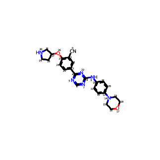 N#Cc1cc(-c2ncnc(Nc3ccc(N4CCOCC4)cc3)n2)ccc1OC1CCNC1